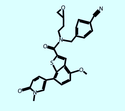 COc1ccc(-c2ccc(=O)n(C)c2)c2sc(C(=O)N(CCC3CO3)Cc3ccc(C#N)cc3)cc12